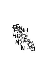 N#Cc1cncc(-c2c(OCc3ccc(Cl)cc3)ccc(-c3cc(C(F)(F)F)n[nH]3)c2O)c1